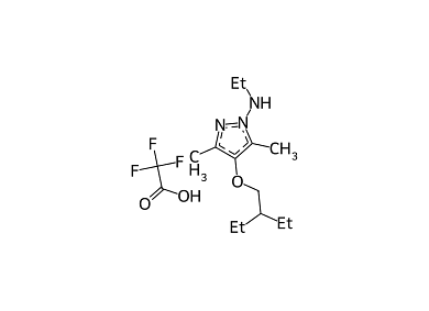 CCNn1nc(C)c(OCC(CC)CC)c1C.O=C(O)C(F)(F)F